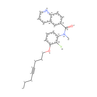 CCCC#CCCCOc1cccc(N(C)C(=O)c2ccc3ncccc3c2)c1F